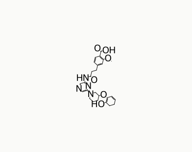 COc1cc(CCC(=O)Nc2cncc(N3CCCC(OC4=C(O)CCC=C4)C3)n2)ccc1C(=O)O